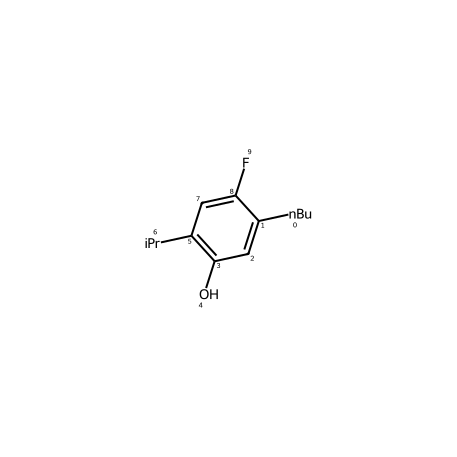 CCCCc1cc(O)c(C(C)C)cc1F